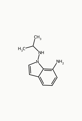 CC(C)Nn1ccc2cccc(N)c21